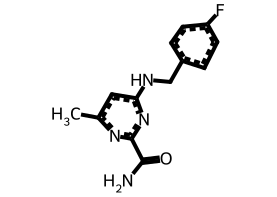 Cc1cc(NCc2ccc(F)cc2)nc(C(N)=O)n1